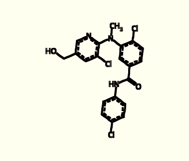 CN(c1cc(C(=O)Nc2ccc(Cl)cc2)ccc1Cl)c1ncc(CO)cc1Cl